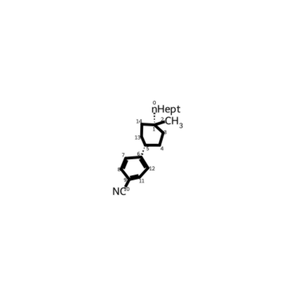 CCCCCCC[C@]1(C)CC[C@H](c2ccc(C#N)cc2)CC1